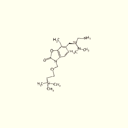 Cc1c(C[C@@H](CN)N(C)C)ccc2c1oc(=O)n2COCC[Si](C)(C)C